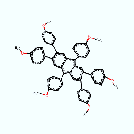 COc1ccc(-c2cc3c(-c4ccc(OC)cc4)c4cc(-c5ccc(OC)cc5)c(-c5ccc(OC)cc5)cc4c(-c4ccc(OC)cc4)c3cc2-c2ccc(OC)cc2)cc1